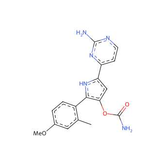 COc1ccc(-c2[nH]c(-c3ccnc(N)n3)cc2OC(N)=O)c(C)c1